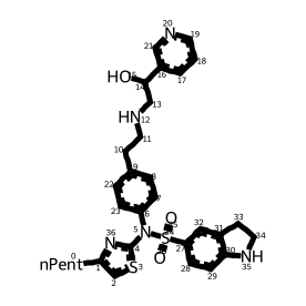 CCCCCc1csc(N(c2ccc(CCNCC(O)c3cccnc3)cc2)S(=O)(=O)c2ccc3c(c2)CCN3)n1